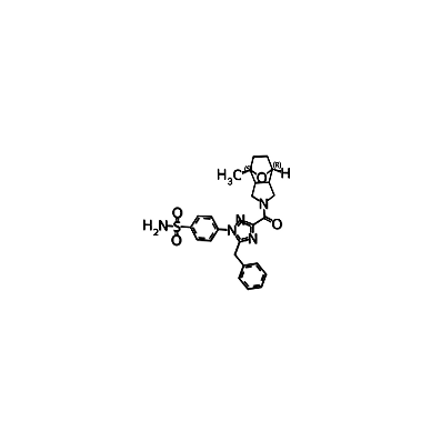 C[C@@]12CC[C@@H](O1)C1CN(C(=O)c3nc(Cc4ccccc4)n(-c4ccc(S(N)(=O)=O)cc4)n3)CC12